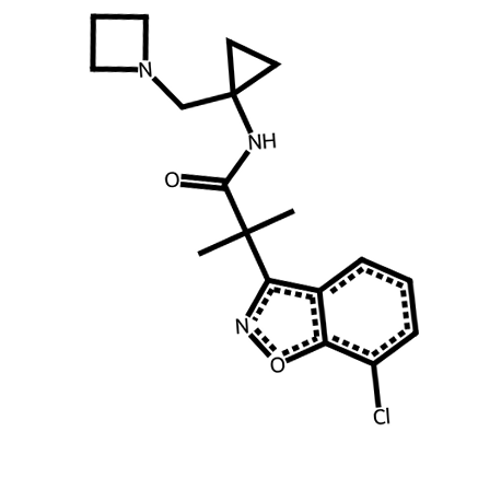 CC(C)(C(=O)NC1(CN2CCC2)CC1)c1noc2c(Cl)cccc12